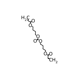 C=CC(=O)OCCCCOC(=O)OCCCCOC(=O)C=C